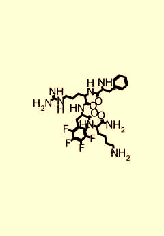 N=C(N)NCCCC(NC(=O)C(N)Cc1ccccc1)C(=O)NC(Cc1c(F)c(F)c(F)c(F)c1F)C(=O)NC(CCCCN)C(N)=O